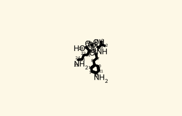 CC(C)[C@@H](NC(=O)CCc1ccc(N)cc1)P(=O)(O)OC(CCCCN)C(=O)O